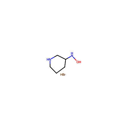 Br.ONC1CCCNC1